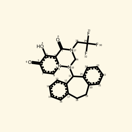 O=C1c2c(O)c(=O)ccn2N(C2c3ccccc3CCc3ccccc32)CN1CC(F)(F)F